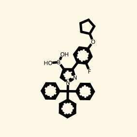 OB(O)c1cn(C(c2ccccc2)(c2ccccc2)c2ccccc2)nc1-c1ccc(OC2CCCC2)cc1F